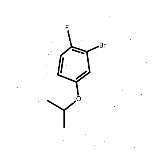 CC(C)Oc1ccc(F)c(Br)c1